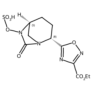 CCOC(=O)c1noc([C@H]2CC[C@H]3CN2C(=O)N3OS(=O)(=O)O)n1